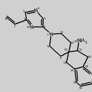 C=Cc1cncc(N2CCC3(CC2)Cc2cccnc2CC3N)n1